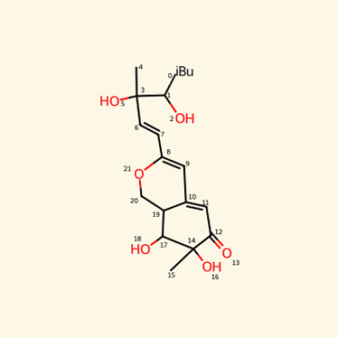 CCC(C)C(O)C(C)(O)/C=C/C1=CC2=CC(=O)C(C)(O)C(O)C2CO1